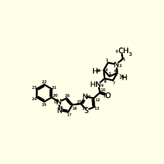 CCN1C[C@H]2C[C@@H]1CC2NC(=O)c1csc(-c2cnn(-c3ccccc3)c2)n1